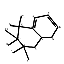 CC1(C)CC2CC=CC=C2C(C)(C)C1(C)C